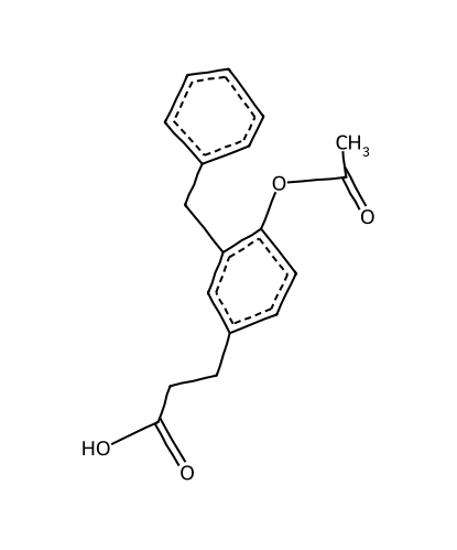 CC(=O)Oc1ccc(CCC(=O)O)cc1Cc1ccccc1